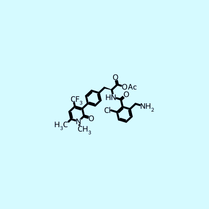 CC(=O)OC(=O)[C@H](Cc1ccc(-c2c(C(F)(F)F)cc(C)n(C)c2=O)cc1)NC(=O)c1c(Cl)cccc1CN